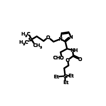 CC[Si](CC)(CC)CCOC(=O)NC(CC=O)c1nccn1COCC[Si](C)(C)C